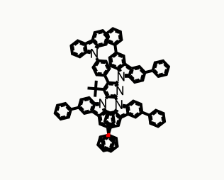 CC(C)(C)c1c(-c2ccc(-n3c4ccccc4c4ccccc43)cc2)c(-n2c3ccc(-c4ccccc4)cc3c3cc(-c4ccccc4)ccc32)nc(-n2c3ccc(-c4ccccc4)cc3c3cc(-c4ccccc4)ccc32)c1-n1c2ccc(-c3ccccc3)cc2c2cc(-c3ccccc3)ccc21